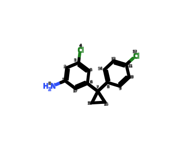 Nc1cc(Cl)cc(C2(c3ccc(Cl)cc3)CC2)c1